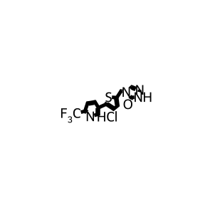 Cl.O=c1[nH]ncn1Cc1ccc(-c2ccc(C(F)(F)F)nc2)s1